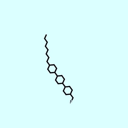 CCCCCCCCC1CCC(C2CCC(C3CCC(CF)CC3)CC2)CC1